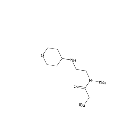 CCCCN(CCNC1CCOCC1)C(=O)CC(C)(C)C